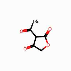 CC(C)(C)C(=O)C1C(=O)COC1=O